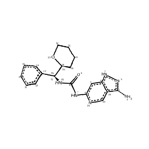 Nc1n[nH]c2cc(NC(=O)N[C@@H](c3ccccc3)[C@@H]3CCCCO3)ncc12